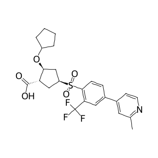 Cc1cc(-c2ccc(S(=O)(=O)[C@@H]3C[C@H](OC4CCCC4)[C@@H](C(=O)O)C3)c(C(F)(F)F)c2)ccn1